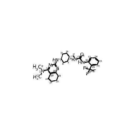 CN(C)c1nc(N[C@H]2CC[C@@H](CNC(=O)Nc3ccccc3C(F)(F)F)CC2)nc2c1CCCC2